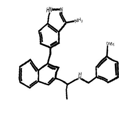 COc1cccc(CNC(C)c2cc(-c3ccc4[nH]nc(N)c4c3)c3ccccc3c2)c1